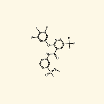 CN=S(C)(=O)c1cccc(NC(=O)c2cc(C(F)(F)F)nnc2Oc2cc(F)c(F)c(F)c2)c1